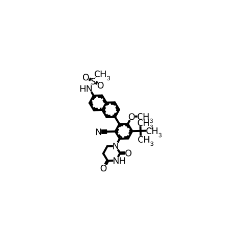 COc1c(C(C)(C)C)cc(N2CCC(=O)NC2=O)c(C#N)c1-c1ccc2cc(NS(C)(=O)=O)ccc2c1